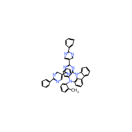 Cc1ccccc1N(c1ccccc1)c1cccc2c3ccccc3n(-c3nc(-c4cnc(-c5ccccc5)nc4)nc(-c4cnc(-c5ccccc5)nc4)n3)c12